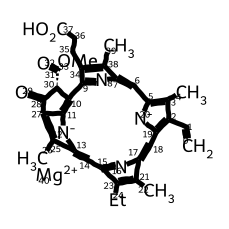 C=Cc1c(C)c2cc3nc(c4c5[n-]c(cc6nc(cc1[n-]2)C(C)=C6CC)c(C)c5C(=O)[C@@H]4C(=O)OC)C(CCC(=O)O)=C3C.[Mg+2]